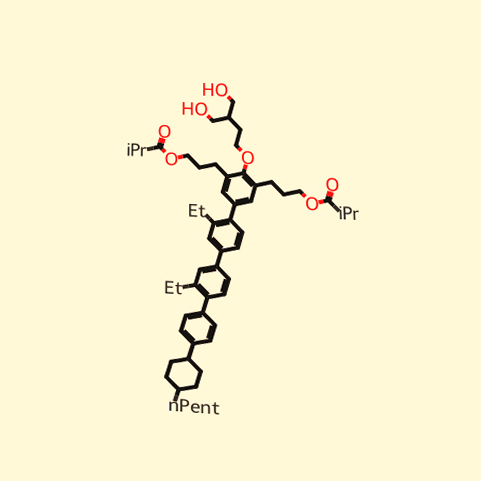 CCCCCC1CCC(c2ccc(-c3ccc(-c4ccc(-c5cc(CCCOC(=O)C(C)C)c(OCCC(CO)CO)c(CCCOC(=O)C(C)C)c5)c(CC)c4)cc3CC)cc2)CC1